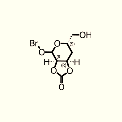 O=C1O[C@@H]2C[C@@H](CO)OC(OBr)[C@@H]2O1